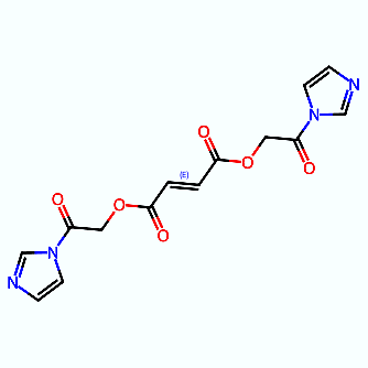 O=C(/C=C/C(=O)OCC(=O)n1ccnc1)OCC(=O)n1ccnc1